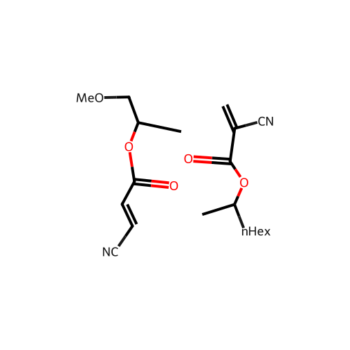 C=C(C#N)C(=O)OC(C)CCCCCC.COCC(C)OC(=O)C=CC#N